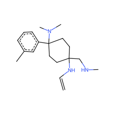 C=CNC1(CNC)CCC(c2cccc(C)c2)(N(C)C)CC1